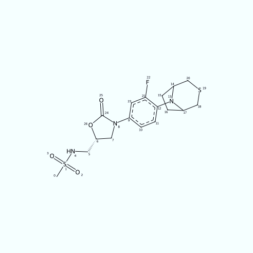 CS(=O)(=O)NC[C@H]1CN(c2ccc(N3C4CCC3CSC4)c(F)c2)C(=O)O1